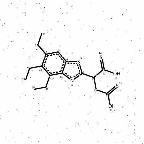 CCc1cc2sc(C(CC(O)=S)C(O)=S)nc2c(CC)c1CC